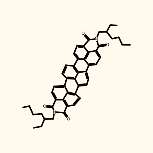 CCCCC(CC)CN1C(=O)c2ccc3c4ccc5c6ccc7c8c(ccc(c9ccc(c%10ccc(c2c3%10)C1=O)c4c59)c86)C(=O)N(CC(CC)CCCC)C7=O